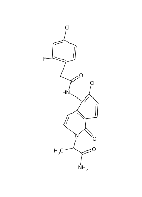 CC(C(N)=O)n1ccc2c(NC(=O)Cc3ccc(Cl)cc3F)c(Cl)ccc2c1=O